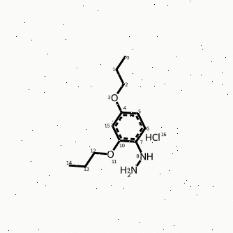 CCCOc1ccc(NN)c(OCCC)c1.Cl